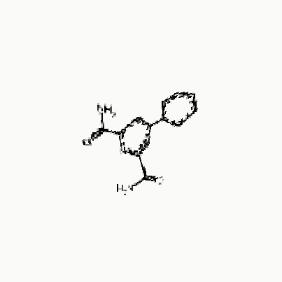 NC(=O)c1cc(-c2ccccc2)cc(C(N)=O)n1